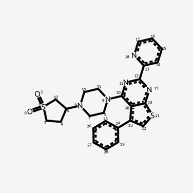 O=S1(=O)CCC(N2CCN(c3nc(-c4ccccn4)nc4scc(-c5ccccc5)c34)CC2)C1